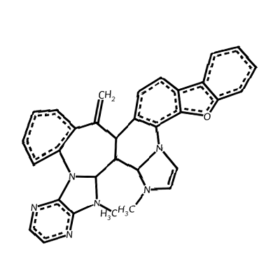 C=C1c2ccccc2N2c3nccnc3N(C)C2C2C1c1ccc3c(oc4ccccc43)c1N1C=CN(C)C21